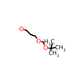 CC(C)(C)OCOCCC[O]